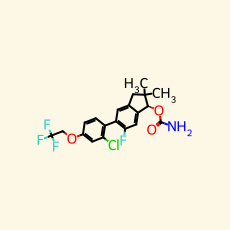 CC1(C)Cc2cc(-c3ccc(OCC(F)(F)F)cc3Cl)c(F)cc2[C@@H]1OC(N)=O